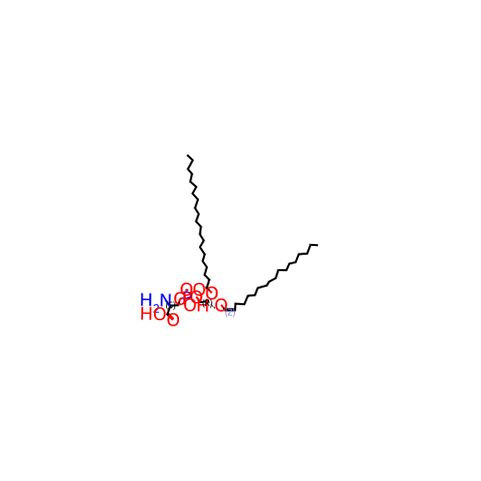 CCCCCCCCCCCCCCCC/C=C\OC[C@H](COP(=O)(O)OC[C@H](N)C(=O)O)OC(=O)CCCCCCCCCCCCCCCCCCCC